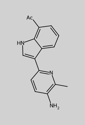 CC(=O)c1cccc2c(-c3ccc(N)c(C)n3)c[nH]c12